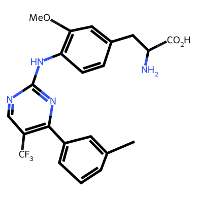 COc1cc(CC(N)C(=O)O)ccc1Nc1ncc(C(F)(F)F)c(-c2cccc(C)c2)n1